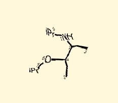 CC(C)NC(C)C(C)OC(C)C